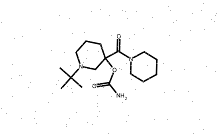 CC(C)(C)N1CCCC(OC(N)=O)(C(=O)N2CCCCC2)C1